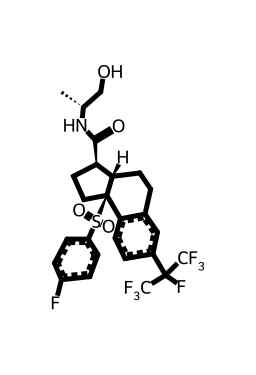 C[C@H](CO)NC(=O)[C@@H]1CC[C@@]2(S(=O)(=O)c3ccc(F)cc3)c3ccc(C(F)(C(F)(F)F)C(F)(F)F)cc3CC[C@@H]12